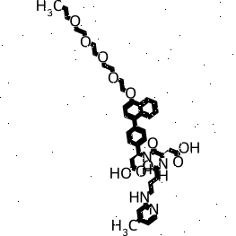 CCCOCCOCCOCCOCCOc1ccc(-c2ccc([C@H](CC(=O)O)NC(=O)[C@H](CC(=O)O)NC(=O)CCCNc3cc(C)ccn3)cc2)c2ccccc12